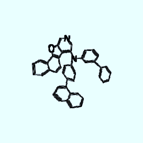 c1ccc(-c2cccc(N(c3ccc(-c4cccc5ccccc45)cc3)c3cncc4oc5c6ccccc6ccc5c34)c2)cc1